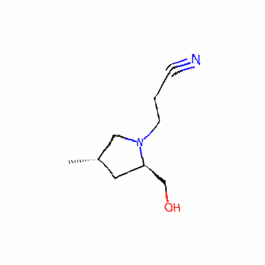 C[C@H]1C[C@H](CO)N(CCC#N)C1